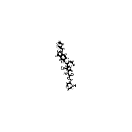 CCc1c(NC(=O)OC[C@@H]2COCCN2)cn2ncnc(Nc3ccc4c(cnn4Cc4cscn4)c3)c12